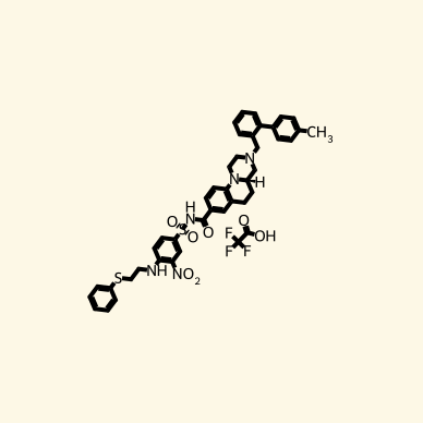 Cc1ccc(-c2ccccc2CN2CCN3c4ccc(C(=O)NS(=O)(=O)c5ccc(NCCSc6ccccc6)c([N+](=O)[O-])c5)cc4CC[C@H]3C2)cc1.O=C(O)C(F)(F)F